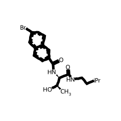 CC(C)CCNC(=O)[C@@H](NC(=O)c1ccc2cc(Br)ccc2c1)[C@@H](C)O